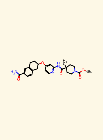 CC(C)(C)OC(=O)N1CCC(C)(C(=O)Nc2cc(OC3CCc4cc(C(N)=O)ccc4C3)ccn2)CC1